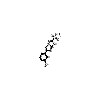 COc1cccc(C2CN3N=C(S(N)(=O)=O)SC3=N2)c1